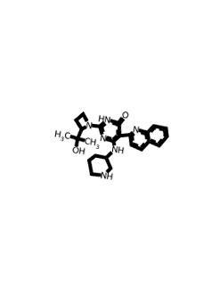 CC(C)(O)C1CCN1c1nc(NC2CCCNC2)c(-c2ccc3ccccc3n2)c(=O)[nH]1